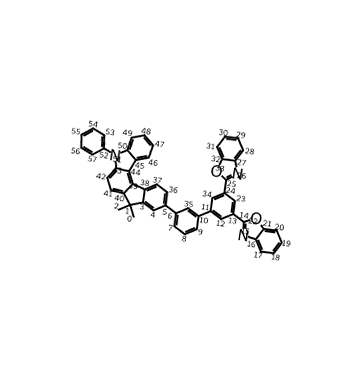 CC1(C)c2cc(-c3cccc(-c4cc(-c5nc6ccccc6o5)cc(-c5nc6ccccc6o5)c4)c3)ccc2-c2c1ccc1c2c2ccccc2n1-c1ccccc1